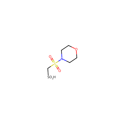 O=S(=O)(O)CS(=O)(=O)N1CCOCC1